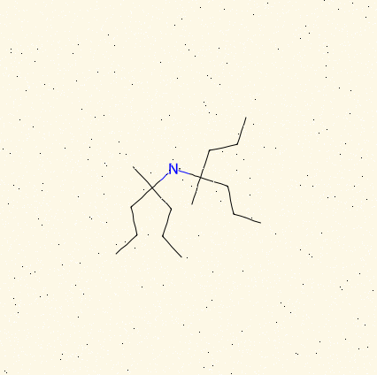 CCCC(C)(CCC)[N]C(C)(CCC)CCC